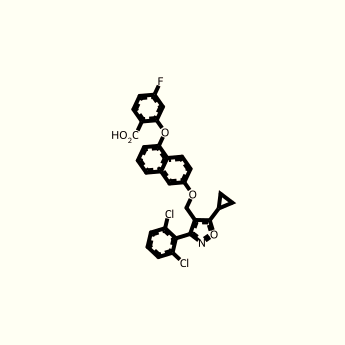 O=C(O)c1ccc(F)cc1Oc1cccc2cc(OCc3c(-c4c(Cl)cccc4Cl)noc3C3CC3)ccc12